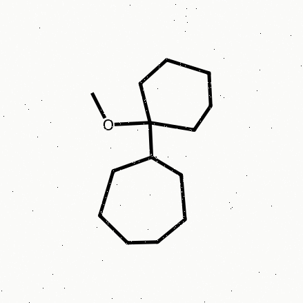 COC1([C]2CCCCCC2)CCCCC1